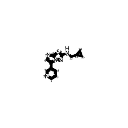 c1cncc(-c2cnc3sc(NCC4CC4)nn23)c1